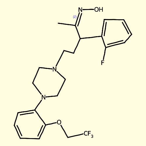 C/C(=N/O)C(CCN1CCN(c2ccccc2OCC(F)(F)F)CC1)c1ccccc1F